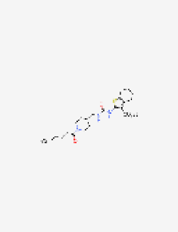 CCCCCCCCCCCCCC(=O)N1CCC(CNC(=O)Nc2sc3c(c2C(=O)OCC)CCCC3)CC1